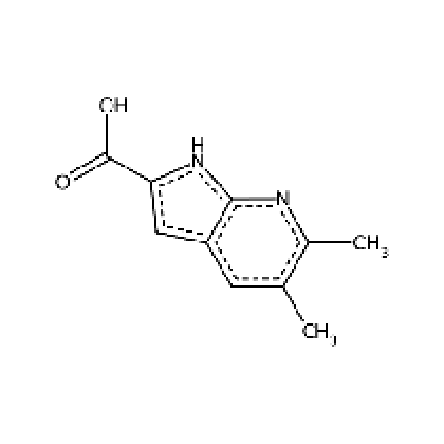 Cc1cc2cc(C(=O)O)[nH]c2nc1C